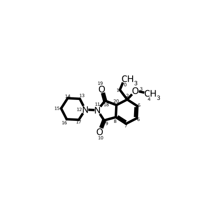 CCC1(OC)C=CC=C2C(=O)N(N3CCCCC3)C(=O)C21